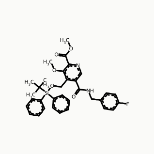 COC(=O)c1ncc(C(=O)NCc2ccc(F)cc2)c(CO[Si](c2ccccc2)(c2ccccc2)C(C)(C)C)c1OC